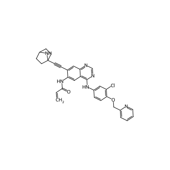 C=CC(=O)Nc1cc2c(Nc3ccc(OCc4ccccn4)c(Cl)c3)ncnc2cc1C#CC12CCC(CC1)N2